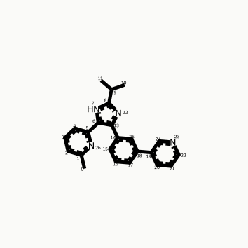 Cc1cccc(-c2[nH]c(C(C)C)nc2-c2cccc(-c3cccnc3)c2)n1